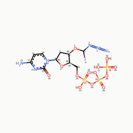 [N-]=[N+]=NC(I)O[C@@H]1C[C@H](n2ccc(N)nc2=O)O[C@@H]1COP(=O)(O)OP(=O)(O)OP(=O)(O)O